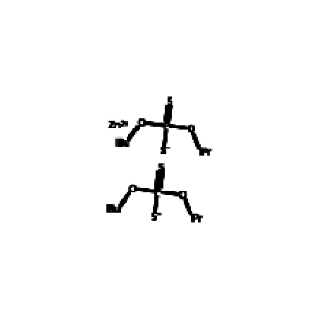 CCC(C)OP(=S)([S-])OC(C)C.CCC(C)OP(=S)([S-])OC(C)C.[Zn+2]